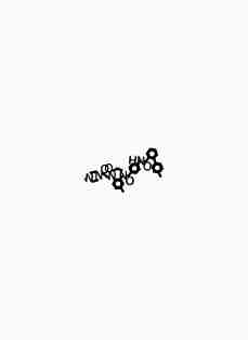 Cc1ccc(-c2ccccc2C(=O)Nc2ccc(C(=O)N3CCC(=O)N(CC(=O)N4CCN(C)CC4)c4ccc(C)cc43)cc2)cc1